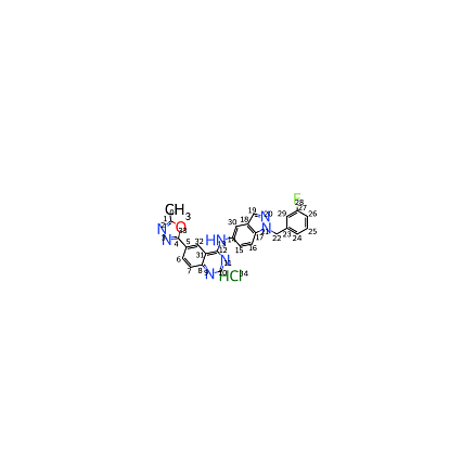 Cc1nnc(-c2ccc3ncnc(Nc4ccc5c(cnn5Cc5cccc(F)c5)c4)c3c2)o1.Cl